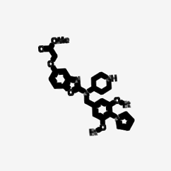 CCOc1cc(CN(c2nc3cc(OCC(=O)OC)ccc3o2)C2CCNCC2)cc(OCC)c1-n1cccc1